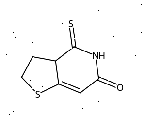 O=C1C=C2SCCC2C(=S)N1